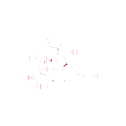 C[C@H](O)[C@@H](O)[C@@H](O)[C@H](O)C=O.O=C(COS(=O)(=O)O)[C@@H](O)[C@H](OS(=O)(=O)O)[C@H](O)CO